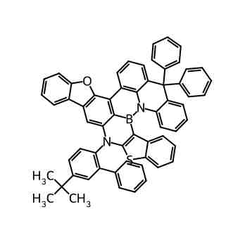 CC(C)(C)c1ccc(N2c3cc4c(oc5ccccc54)c4c3B(c3c2sc2ccccc32)N2c3ccccc3C(c3ccccc3)(c3ccccc3)c3cccc-4c32)c(-c2ccccc2)c1